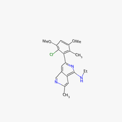 CCNc1nc(-c2c(C)c(OC)cc(OC)c2Cl)cc2cnc(C)cc12